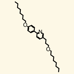 CCCCCCCCOCCCc1ccc(-c2ccc(OCCCCCCCC)cc2)nc1